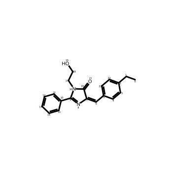 CCc1ccc(/C=C2/N=C(c3ccccc3)N(CCO)C2=O)cc1